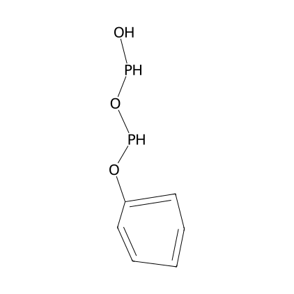 OPOPOc1ccccc1